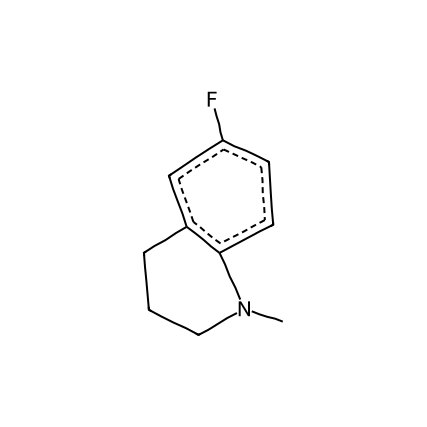 CN1CCCc2cc(F)ccc21